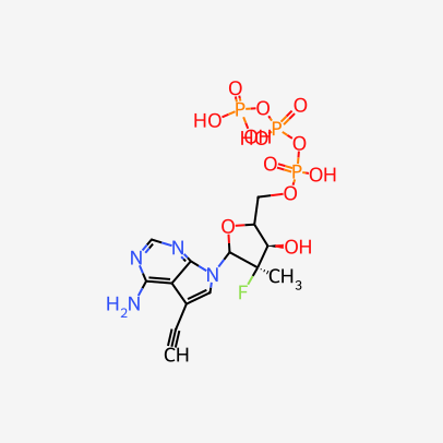 C#Cc1cn(C2OC(COP(=O)(O)OP(=O)(O)OP(=O)(O)O)[C@@H](O)[C@@]2(C)F)c2ncnc(N)c12